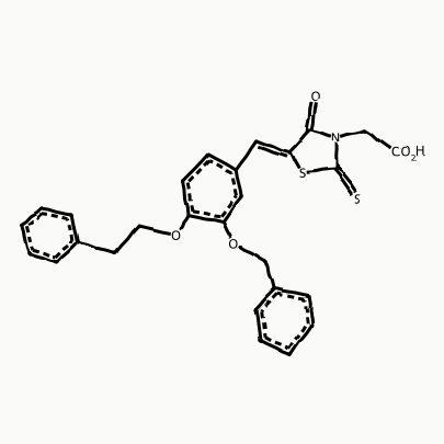 O=C(O)CN1C(=O)C(=Cc2ccc(OCCc3ccccc3)c(OCc3ccccc3)c2)SC1=S